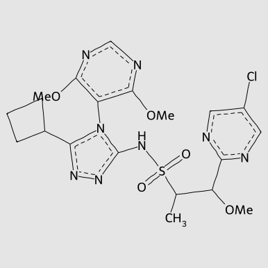 COc1ncnc(OC)c1-n1c(NS(=O)(=O)C(C)C(OC)c2ncc(Cl)cn2)nnc1C1CCC1